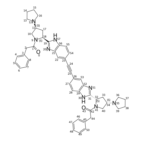 O=C(Cc1ccccc1)N1C[C@@H](N2CCCC2)C[C@H]1c1nc2cc(C#Cc3ccc4[nH]c([C@@H]5C[C@H](N6CCCC6)CN5C(=O)Cc5ccccc5)nc4c3)ccc2[nH]1